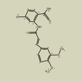 COc1ccc(C=CC(=O)Nc2cc(Cl)ccc2C(=O)O)cc1OC